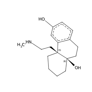 CNCC[C@]12CCCC[C@@]1(O)CCc1ccc(O)cc12